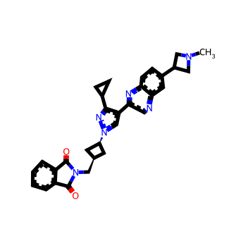 CN1CC(c2ccc3nc(-c4cn([C@H]5C[C@H](CN6C(=O)c7ccccc7C6=O)C5)nc4C4CC4)cnc3c2)C1